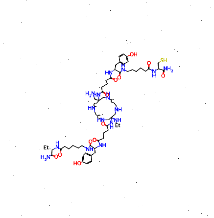 CCN[C@]1(NC(=O)CCCC(=O)N[C@@H](Cc2ccc(O)cc2)C(=O)NCCCCCC(=O)N[C@@H](CC)C(N)=O)CNCCNC[C@@](CN)(NC(=O)CCCC(=O)N[C@@H](Cc2ccc(O)cc2)C(=O)NCCCCCC(=O)N[C@@H](CS)C(N)=O)CNCCNC1